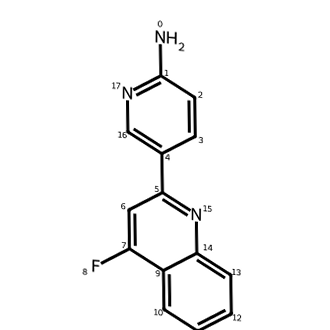 Nc1ccc(-c2cc(F)c3ccccc3n2)cn1